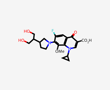 COc1c(N2CCC(C(CO)CO)C2)c(F)cc2c(=O)c(C(=O)O)cn(C3CC3)c12